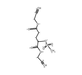 C#CCOC(=O)CCC(OS(C)(=O)=O)C(=O)OCC#C